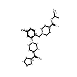 CC(OC(=O)N1CCN(Cc2ccc(Cl)cc2N2CCC(C(=O)N3CCCC3)CC2)CC1)C(F)(F)F